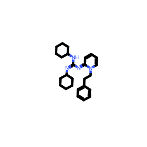 c1ccc(CCn2cccc/c2=N\C(=N/C2CCCCC2)NC2CCCCC2)cc1